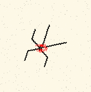 CCCCCCCC/C=C\CCCCCCCCC(CCCCCCCC/C=C\CCCCCCCC)(C(=O)O)C(CCCCCCCC/C=C\CCCCCCCC)(C(=O)O)C(C(=O)O)C(COC(=O)CCCCCCCCCCCCCCCCC)OC(=O)CCCCCCCCCCCCCCCCC